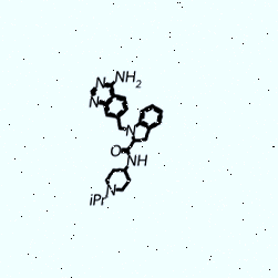 CC(C)N1CCC(NC(=O)C2Cc3ccccc3N2Cc2ccc3c(N)ncnc3c2)CC1